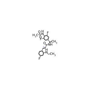 CCNc1cc(F)ccc1/C=C/C(=O)N[C@H](C)c1cc(F)c(NS(C)(=O)=O)c(F)c1